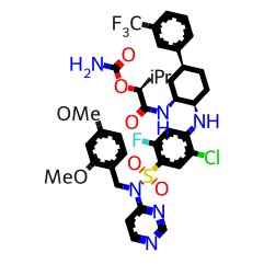 COc1ccc(CN(c2ccncn2)S(=O)(=O)c2cc(Cl)c(N[C@H]3CC[C@H](c4cccc(C(F)(F)F)c4)C[C@@H]3NC(=O)[C@@H](OC(N)=O)C(C)C)cc2F)c(OC)c1